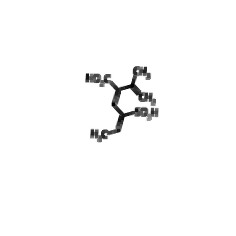 C=C(C)/C(=C\C(=C/C)S(=O)(=O)O)C(=O)O